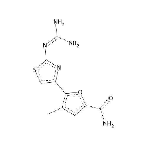 Cc1cc(C(N)=O)oc1-c1csc(N=C(N)N)n1